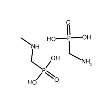 CNCP(=O)(O)O.NCP(=O)(O)O